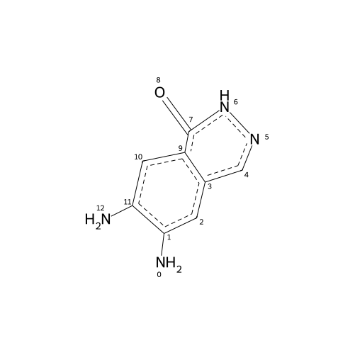 Nc1cc2cn[nH]c(=O)c2cc1N